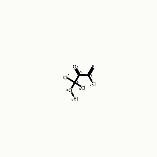 C=C(Cl)C(=O)C(Cl)(Cl)OCC